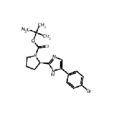 CC(C)(C)OC(=O)N1CCC[C@@H]1c1ncc(-c2ccc(Br)cc2)[nH]1